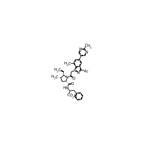 C=C[C@@H]1[C@@H](C)C[C@@H](C(=O)N[C@@H](Cc2ccccc2)C(=O)O)N1C(=O)Cn1nc(C(C)=O)c2cc(-c3cnc(C)nc3)cc(C)c21